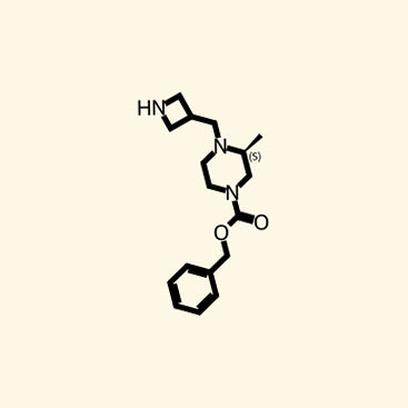 C[C@H]1CN(C(=O)OCc2ccccc2)CCN1CC1CNC1